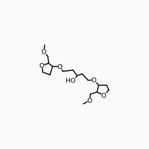 COCC1OCCC1OCCC(O)CCOC1CCOC1COC